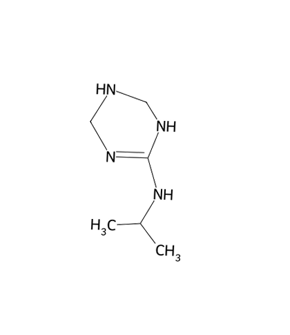 CC(C)NC1=NCNCN1